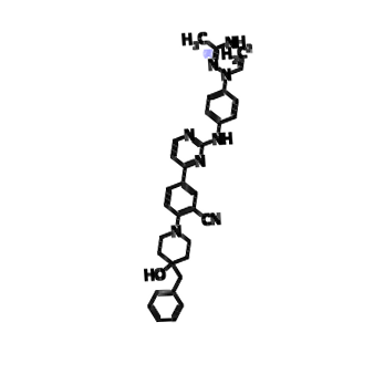 C=CN(/N=C(/C)N)c1ccc(Nc2nccc(-c3ccc(N4CCC(O)(Cc5ccccc5)CC4)c(C#N)c3)n2)cc1